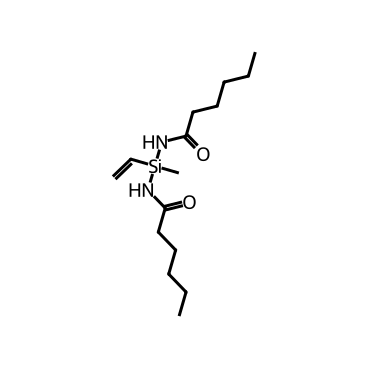 C=C[Si](C)(NC(=O)CCCCC)NC(=O)CCCCC